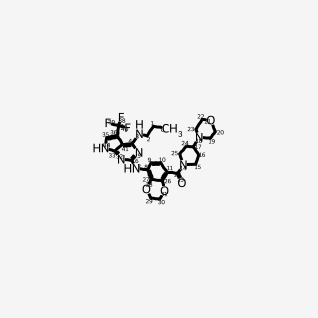 CCCNc1nc(Nc2ccc(C(=O)N3CCC(N4CCOCC4)CC3)c3c2OCCO3)nc2[nH]cc(C(F)(F)F)c12